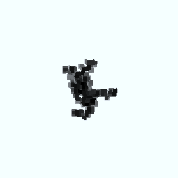 CCOC(=O)O[C@@H]1CC2=CC[C@H]3[C@@H]4CC[C@H]([C@H](C)CCCC(C)C)[C@@]4(C)CC[C@@H]3[C@@]2(C)[C@@H](OC(=O)OCC)C1